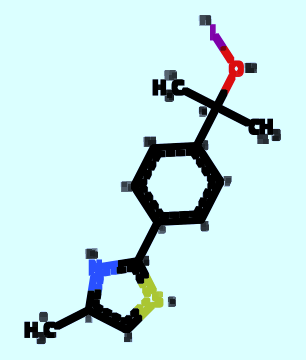 Cc1csc(-c2ccc(C(C)(C)OI)cc2)n1